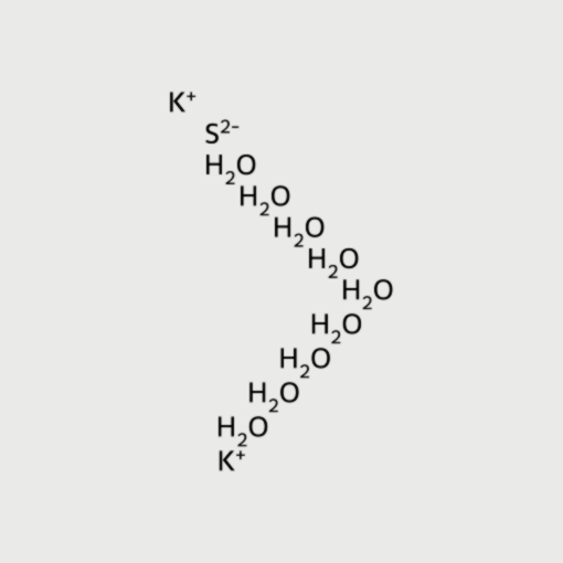 O.O.O.O.O.O.O.O.O.[K+].[K+].[S-2]